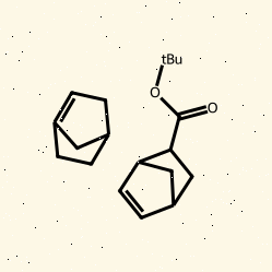 C1=C2CCC(C1)C2.CC(C)(C)OC(=O)C1CC2C=CC1C2